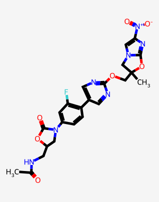 CC(=O)NCC1CN(c2ccc(-c3cnc(OCC4(C)Cn5cc([N+](=O)[O-])nc5O4)nc3)c(F)c2)C(=O)O1